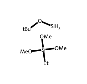 CC(C)(C)O[SiH3].CC[Si](OC)(OC)OC